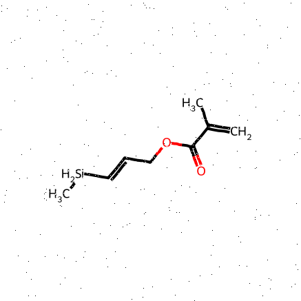 C=C(C)C(=O)OCC=C[SiH2]C